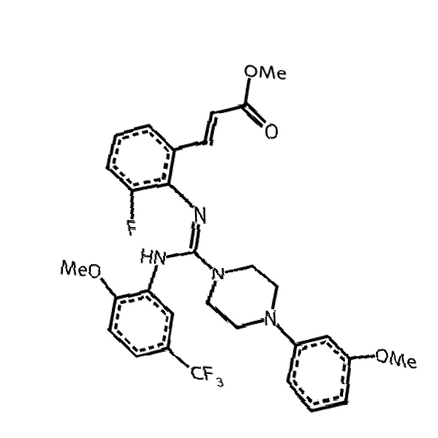 COC(=O)/C=C/c1cccc(F)c1N=C(Nc1cc(C(F)(F)F)ccc1OC)N1CCN(c2cccc(OC)c2)CC1